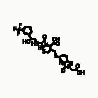 O=C(O)Cn1nc2ccc(SCC3=C(C(=O)O)N4C(=O)C(NCC(O)c5cccc(C(F)(F)F)c5)[C@@H]4SC3)nn2c1=O